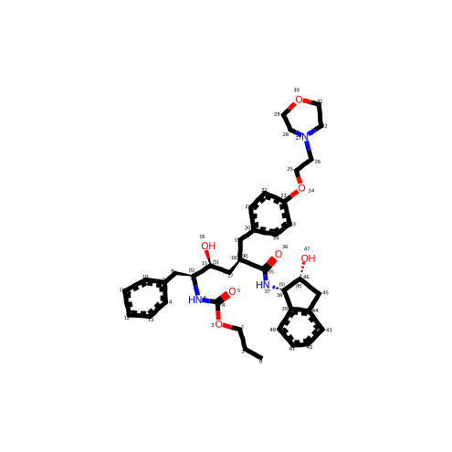 CCCOC(=O)N[C@@H](Cc1ccccc1)[C@@H](O)C[C@@H](Cc1ccc(OCCN2CCOCC2)cc1)C(=O)N[C@H]1c2ccccc2C[C@H]1O